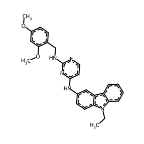 CCn1c2ccccc2c2cc(Nc3ccnc(NCc4ccc(OC)cc4OC)n3)ccc21